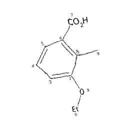 CCOc1cccc(C(=O)O)c1C